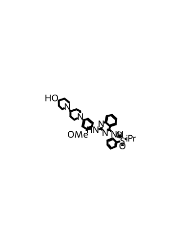 COc1cc(N2CCC(N3CCC(O)CC3)CC2)ccc1Nc1nc(Nc2ccccc2S(=O)(=O)C(C)C)c2ccccc2n1